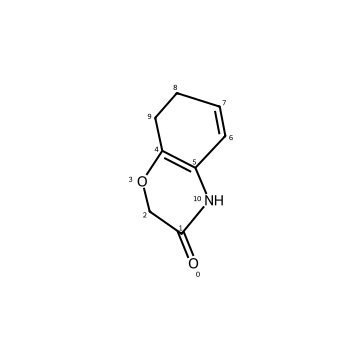 O=C1COC2=C(C=CCC2)N1